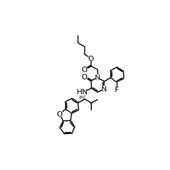 CCCCOC(=O)Cn1c(-c2ccccc2F)ncc(N[C@@H](c2ccc3oc4ccccc4c3c2)C(C)C)c1=O